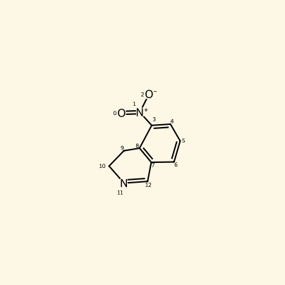 O=[N+]([O-])c1cccc2c1CCN=C2